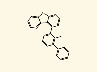 Cc1c(-c2ccccc2)cccc1-c1cccc2oc3ccccc3c12